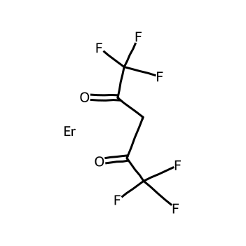 O=C(CC(=O)C(F)(F)F)C(F)(F)F.[Er]